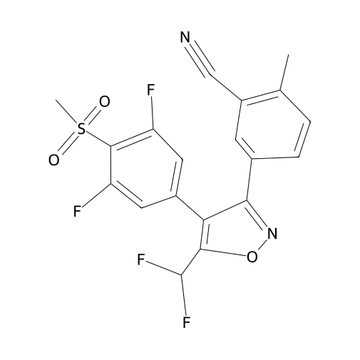 Cc1ccc(-c2noc(C(F)F)c2-c2cc(F)c(S(C)(=O)=O)c(F)c2)cc1C#N